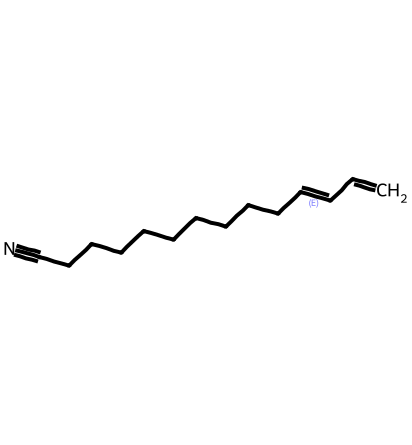 C=C/C=C/CCCCCCCCCC#N